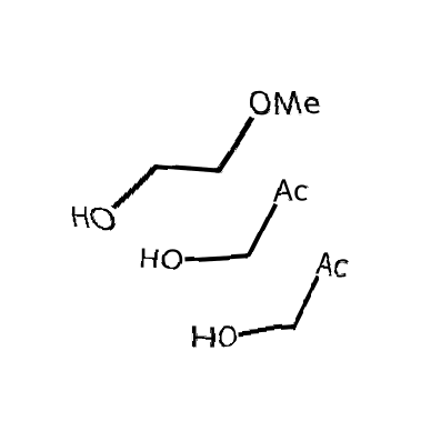 CC(=O)CO.CC(=O)CO.COCCO